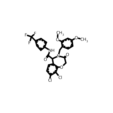 COc1ccc(CN2C(=O)COc3c(ccc(Cl)c3Cl)C2C(=O)Nc2ccc(C(F)(F)F)cc2)c(OC)c1